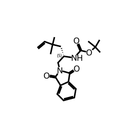 C=CC(C)(C)C[C@@H](CN1C(=O)c2ccccc2C1=O)NC(=O)OC(C)(C)C